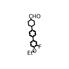 CCOc1ccc(-c2ccc(C3CCC(C=O)CC3)cc2)cc1F